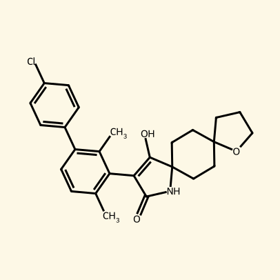 Cc1ccc(-c2ccc(Cl)cc2)c(C)c1C1=C(O)C2(CCC3(CCCO3)CC2)NC1=O